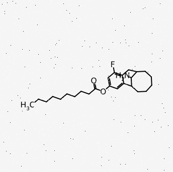 CCCCCCCCCC(=O)Oc1cc(F)c2c(c1)C1CCCCCC(C2)C1N